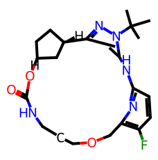 CC(C)(C)n1nc2cc1Nc1ccc(F)c(n1)COCCCNC(=O)O[C@@H]1CC[C@H]2C1